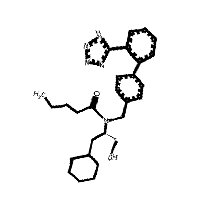 CCCCC(=O)N(Cc1ccc(-c2ccccc2-c2nnn[nH]2)cc1)[C@H](CO)CC1CCCCC1